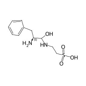 N[C@@H](Cc1ccccc1)C(O)NCCS(=O)(=O)O